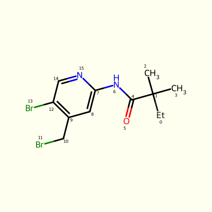 CCC(C)(C)C(=O)Nc1cc(CBr)c(Br)cn1